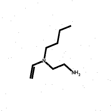 C=CN(CCN)CCCC